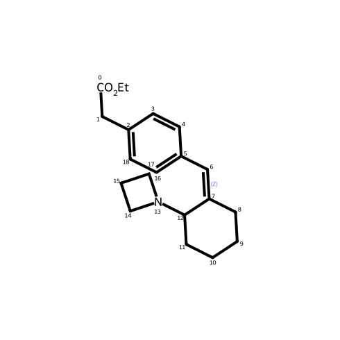 CCOC(=O)Cc1ccc(/C=C2/CCCCC2N2CCC2)cc1